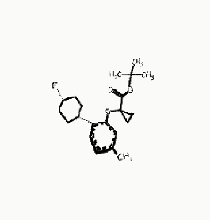 Cc1ccc([C@H]2CC[C@@H](F)CC2)c(OC2(C(=O)OC(C)(C)C)CC2)c1